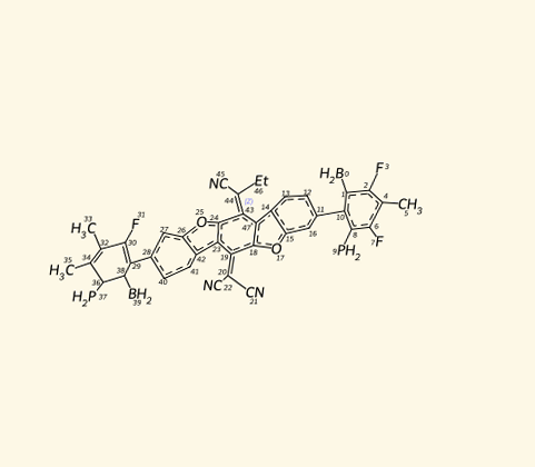 Bc1c(F)c(C)c(F)c(P)c1-c1ccc2c(c1)oc1c(=C(C#N)C#N)c3c(oc4cc(C5=C(F)C(C)=C(C)C(P)C5B)ccc43)/c(=C(\C#N)CC)c12